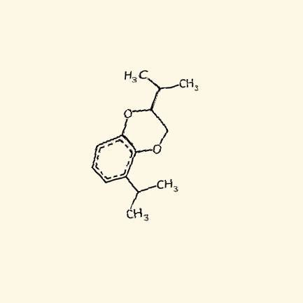 CC(C)c1cccc2c1OCC(C(C)C)O2